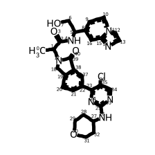 CC(C(=O)NC(CO)c1ccn2ccnc2c1)N1Cc2ccc(-c3nc(NC4CCOCC4)ncc3Cl)cc2C1=O